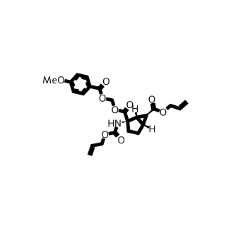 C=CCOC(=O)N[C@@]1(C(=O)OCOC(=O)c2ccc(OC)cc2)CC[C@H]2[C@H](C(=O)OCC=C)[C@H]21